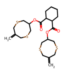 C=C1CSCC(OC(=O)C2CCCCC2C(=O)OC2CSCC(=C)CSC2)CSC1